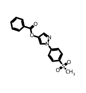 CS(=O)(=O)c1ccc(-n2cc(OC(=O)c3ccccc3)cn2)cc1